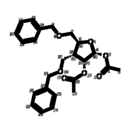 CC(=O)O[C@H]1O[C@H](COCc2ccccc2)[C@@H](COCc2ccccc2)[C@H]1OC(C)=O